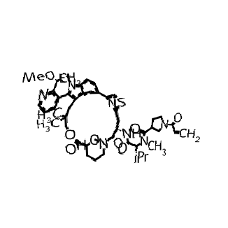 C=CC(=O)N1CCC(C(=O)N(C)C(C(=O)N[C@H]2Cc3nc(cs3)-c3ccc4c(c3)c(c(-c3cccnc3[C@H](C)OC)n4CC)CC(C)(C)COC(=O)[C@@H]3CCCN(O3)C2=O)C(C)C)C1